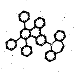 C1=Cc2ccccc2N(c2ccc3c(c2)c2ccccc2c2c(-c4ccccc4)cc(-c4ccccc4)c(-c4ccccc4)c32)c2ccccc21